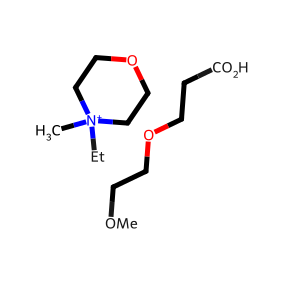 CC[N+]1(C)CCOCC1.COCCOCCC(=O)O